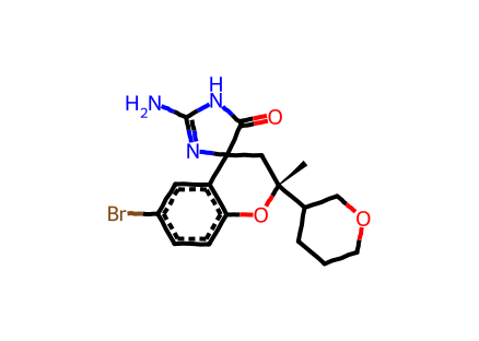 C[C@]1(C2CCCOC2)CC2(N=C(N)NC2=O)c2cc(Br)ccc2O1